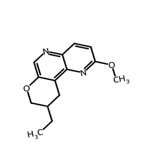 CCC1COc2cnc3ccc(OC)nc3c2C1